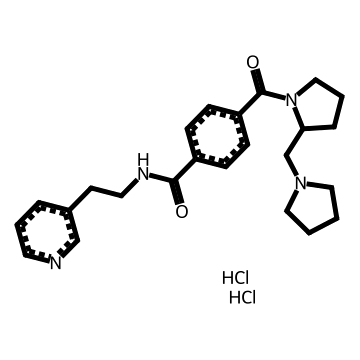 Cl.Cl.O=C(NCCc1cccnc1)c1ccc(C(=O)N2CCCC2CN2CCCC2)cc1